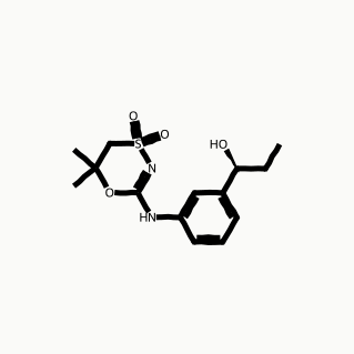 CC[C@H](O)c1cccc(NC2=NS(=O)(=O)CC(C)(C)O2)c1